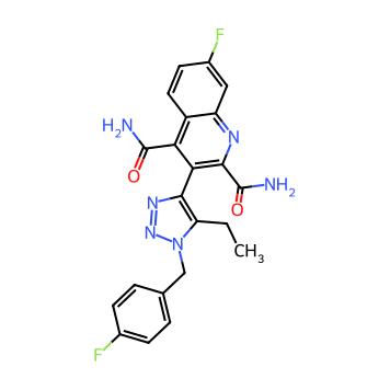 CCc1c(-c2c(C(N)=O)nc3cc(F)ccc3c2C(N)=O)nnn1Cc1ccc(F)cc1